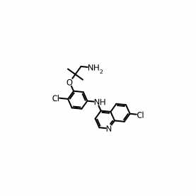 CC(C)(CN)Oc1cc(Nc2ccnc3cc(Cl)ccc23)ccc1Cl